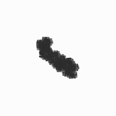 c1ccc(-c2ccccc2-c2nc(-c3cc(-c4ccc(-c5cccc6c5c5cc7ccccc7cc5n6-c5ccc(-c6nc(-c7cccc8ccccc78)nc(-c7cccc8ccccc78)n6)c(-c6cccc7sc8ccccc8c67)c5)cc4)ccc3-c3ccccc3)nc(-c3ccc(-n4c5cc6ccccc6cc5c5c(-c6ccccc6)cccc54)cc3-c3cccc4sc5ccccc5c34)n2)cc1